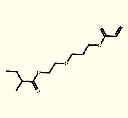 C=CC(=O)OCCCOCCOC(=O)C(C)CC